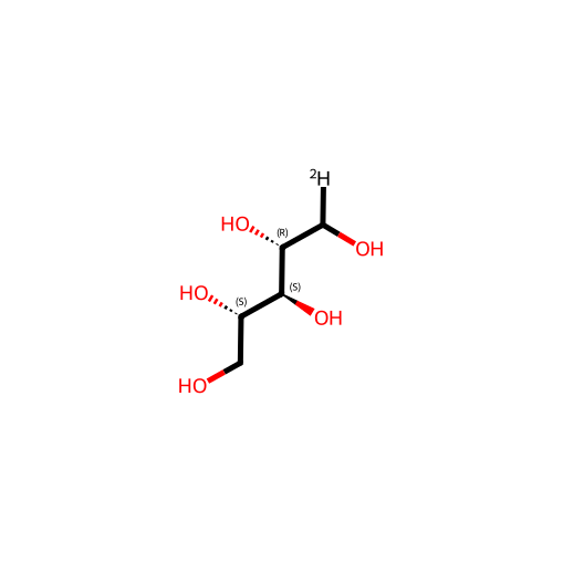 [2H]C(O)[C@@H](O)[C@@H](O)[C@@H](O)CO